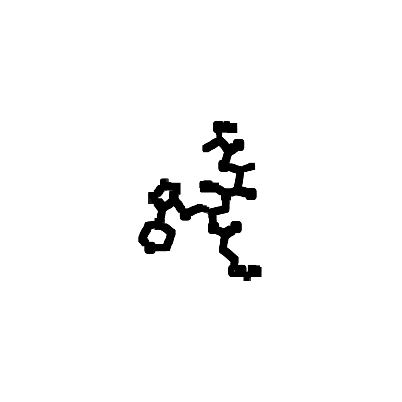 CCOC(=O)CCC(=O)O[C@H](COc1nsnc1N1CCOCC1)CN(C(=O)[C@H](C)OC(=O)[C@H](C)OC(C)=O)C(C)(C)C